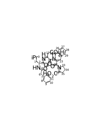 CC(C)C[C@H](NC(=O)Cc1ccccc1)C(=O)N[C@@H](CC(=O)O)C(=O)N[C@@H](Cc1ccccc1)C(=O)N1CCC[C@@H]1C(=O)O